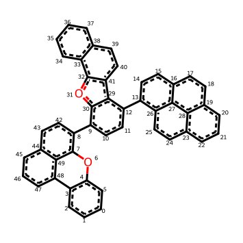 c1ccc2c(c1)Oc1c(-c3ccc(-c4ccc5ccc6cccc7ccc4c5c67)c4c3oc3c5ccccc5ccc34)ccc3cccc-2c13